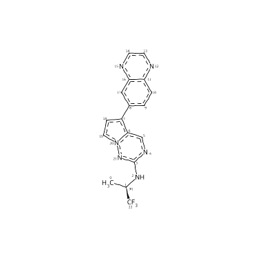 C[C@@H](Nc1ncc2c(-c3ccc4nccnc4c3)ccn2n1)C(F)(F)F